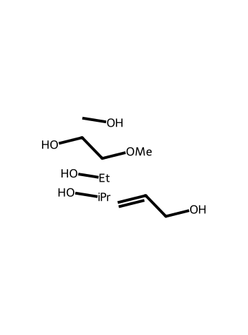 C=CCO.CC(C)O.CCO.CO.COCCO